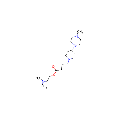 CN(C)CCOC(=O)CCCN1CCC(N2CCN(C)CC2)CC1